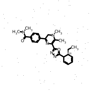 CC[C@H]1C=CC=CC1c1nnc(C2=C(C)N(C)CC(c3ccc(C(=O)N(C)C)cc3)=N2)o1